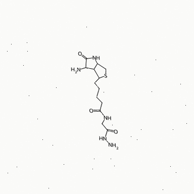 NNC(=O)CNC(=O)CCCCC1SCC2NC(=O)C(N)C21